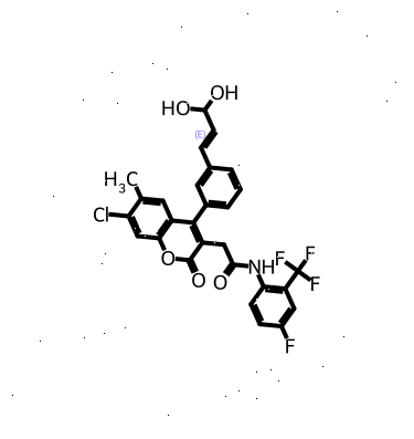 Cc1cc2c(-c3cccc(/C=C/C(O)O)c3)c(CC(=O)Nc3ccc(F)cc3C(F)(F)F)c(=O)oc2cc1Cl